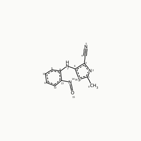 Cc1nc(C#N)c(Nc2ccccc2N=O)s1